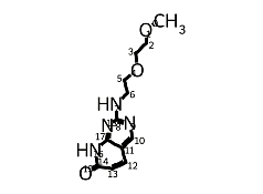 COCCOCCNc1ncc2ccc(=O)[nH]c2n1